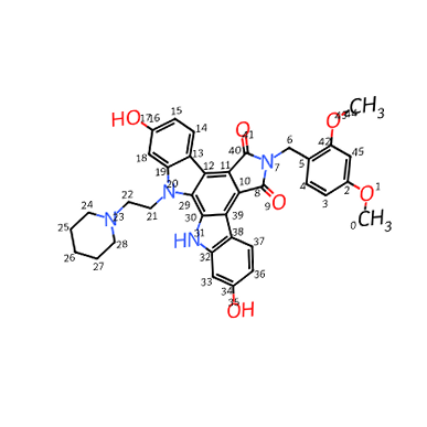 COc1ccc(CN2C(=O)c3c(c4c5ccc(O)cc5n(CCN5CCCCC5)c4c4[nH]c5cc(O)ccc5c34)C2=O)c(OC)c1